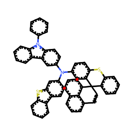 c1ccc(-n2c3ccccc3c3cc(N(c4ccc5c(c4)C4(c6ccccc6S5)c5ccccc5-c5cccc6cccc4c56)c4ccc5c(c4)sc4ccccc45)ccc32)cc1